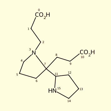 O=C(O)CCN1CCCC1(CCC(=O)O)C1CCCN1